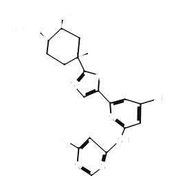 Cc1cc(Nc2cc(C(F)(F)F)ncn2)nc(-c2cnc([C@]3(O)CC[C@@H](C(=O)O)[C@@H](C)C3)s2)c1